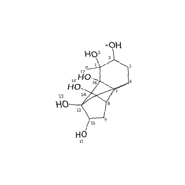 CC1(O)C(O)CC2C3C4CC(O)C2(O)C4(O)C31O